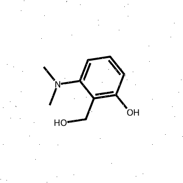 CN(C)c1cccc(O)c1CO